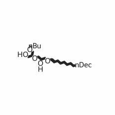 CCCCCCCCCCCCCCCCC=COCC(O)COC(CO)COCCCC